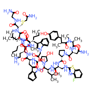 CCCC[C@@H](C(=O)N(C)[C@@H](CCCC)C(=O)N[C@@H](CC(C)C)C(=O)N[C@@H](CSCC(N)=O)C(=O)NCC(N)=O)N(C)C(=O)[C@H](Cc1cn(CC(=O)O)c2ccccc12)NC(=O)[C@H](CCN)NC(=O)[C@H](Cc1c[nH]c2ccccc12)NC(=O)[C@@H]1C[C@@H](O)CN1C(=O)[C@H](CC(C)C)NC(=O)[C@H](CNc1nc2c(F)cccc2s1)NC(=O)[C@@H]1CCCN1C(=O)[C@H](CC(N)=O)NC(=O)[C@H](C)N(C)C(=O)[C@@H](C)Cc1ccc(O)cc1